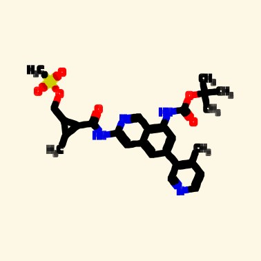 Cc1ccncc1-c1cc(NC(=O)OC(C)(C)C)c2cnc(NC(=O)C3C(C)C3COS(C)(=O)=O)cc2c1